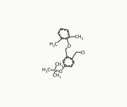 Cc1cccc(C)c1OCc1cc(O[Si](C)(C)C)ccc1CCl